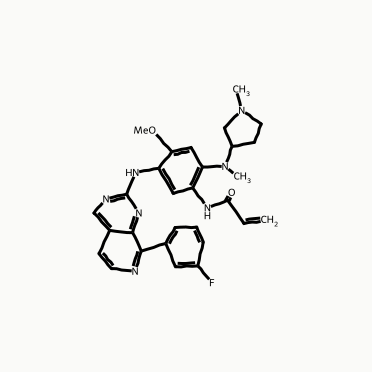 C=CC(=O)Nc1cc(Nc2ncc3ccnc(-c4cccc(F)c4)c3n2)c(OC)cc1N(C)C1CCN(C)C1